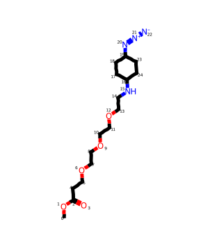 COC(=O)CCOCCOCCOCCNC1CCC(N=[N+]=[N-])CC1